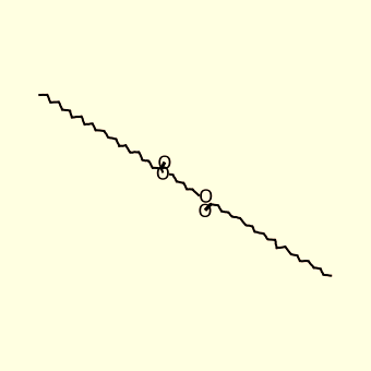 CCCCCCCCCCCCCCCCCCCCCC(=O)OCCCCCCOC(=O)CCCCCCCCCCCCCCCCCCCCC